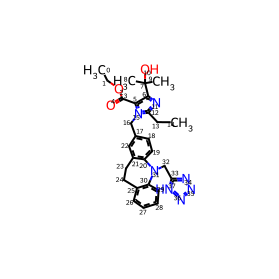 CCOC(=O)c1c(C(C)(C)O)nc(CC)n1Cc1ccc2c(c1)CCc1ccccc1N2Cc1nnn[nH]1